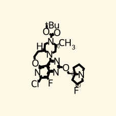 C[C@@H]1CN2c3nc(OC[C@@]45CCCN4C[C@H](F)C5)nc4c(F)c(Cl)nc(c34)OCC[C@H]2CN1C(=O)OC(C)(C)C